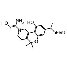 CCCCCC(C)c1cc(O)c2c(c1)OC(C)(C)C1=C2CN(C(N)=NO)CC1